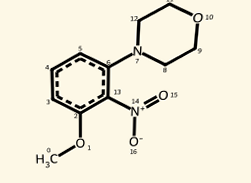 COc1cccc(N2CCOCC2)c1[N+](=O)[O-]